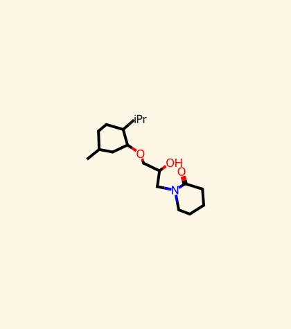 CC1CCC(C(C)C)C(OCC(O)CN2CCCCC2=O)C1